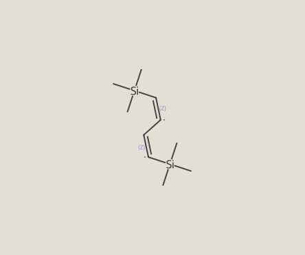 C[Si](C)(C)/[C]=C\[C]=C/[Si](C)(C)C